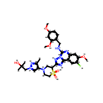 COc1ccc(CNc2nc3cc(OC)c(F)cc3c3nc(C4CN(c5cn(CC(C)(C)O)nc5C)CCS4(=O)=O)nn23)c(OC)c1